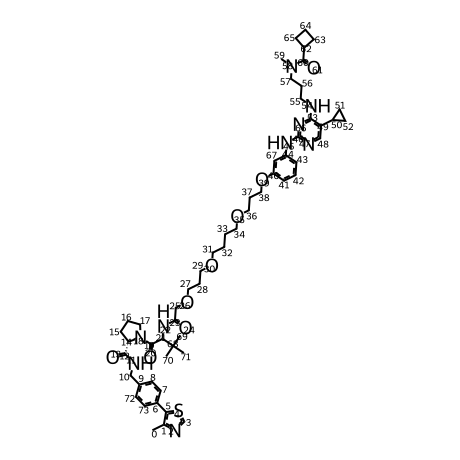 Cc1ncsc1-c1ccc(CNC(=O)[C@@H]2CCCN2C(=O)C(NC(=O)COCCCOCCCCOCCCOc2cccc(Nc3ncc(C4CC4)c(NCCCN(C)C(=O)C4CCC4)n3)c2)C(C)(C)C)cc1